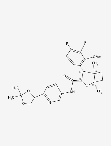 COc1c([C@H]2[C@H](C(=O)Nc3ccc(C4COC(C)(C)O4)nc3)O[C@]3(C(F)(F)F)CC[C@]23C)ccc(F)c1F